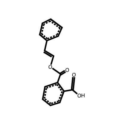 O=C(O)c1ccccc1C(=O)OC=Cc1ccccc1